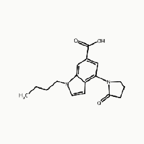 CCCCn1ccc2c(N3CCCC3=O)cc(C(=O)O)cc21